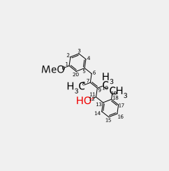 COc1cccc(C/C(C)=C(\C)C(O)c2ccccc2C)c1